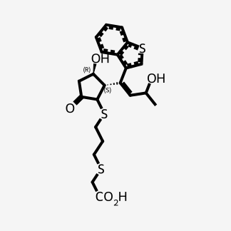 CC(O)C=C(c1csc2ccccc12)[C@@H]1C(SCCCSCC(=O)O)C(=O)C[C@H]1O